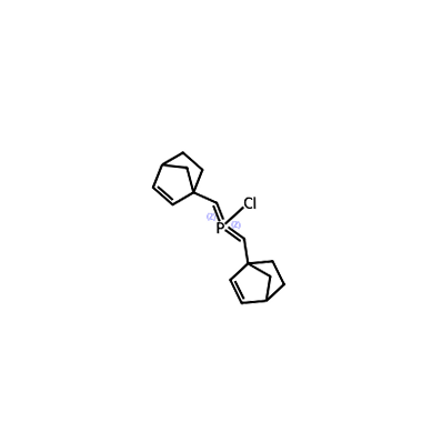 Cl/P(=C\C12C=CC(CC1)C2)=C\C12C=CC(CC1)C2